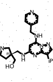 CC(C)c1cnn2c(NCc3ccncc3)cc(NC[C@@]3(CO)CCNC3)nc12